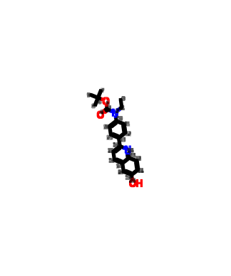 CCN(C(=O)OC(C)(C)C)c1ccc(-c2ccc3cc(O)ccc3n2)cc1